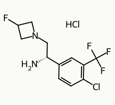 Cl.N[C@H](CN1CC(F)C1)c1ccc(Cl)c(C(F)(F)F)c1